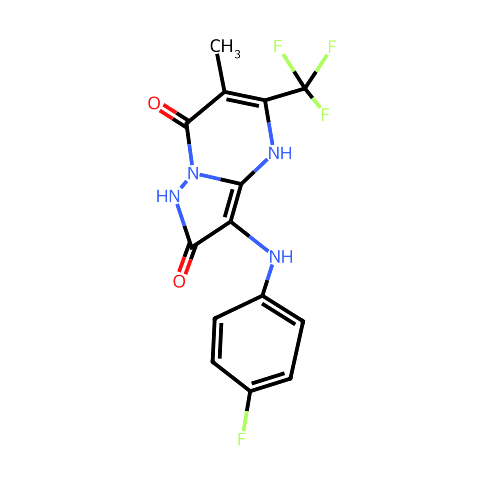 Cc1c(C(F)(F)F)[nH]c2c(Nc3ccc(F)cc3)c(=O)[nH]n2c1=O